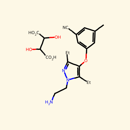 CCc1nn(CCN)c(CC)c1Oc1cc(C)cc(C#N)c1.O=C(O)C(O)C(O)C(=O)O